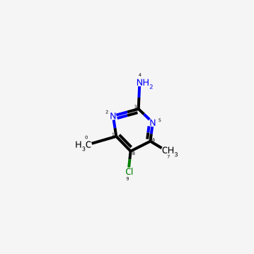 Cc1nc(N)nc(C)c1Cl